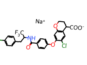 O=C(NC(Cc1ccc(Cl)cc1)C(F)(F)F)c1ccc(Oc2cc3c(cc2Cl)C(C(=O)[O-])CCO3)cc1.[Na+]